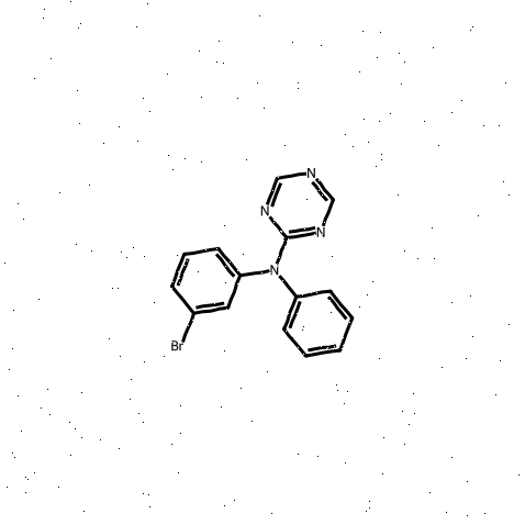 Brc1cccc(N(c2ccccc2)c2ncncn2)c1